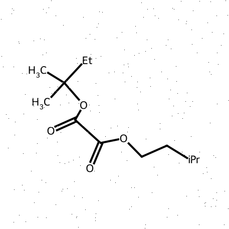 CCC(C)(C)OC(=O)C(=O)OCCC(C)C